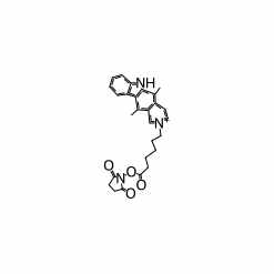 Cc1c2cc[n+](CCCCCC(=O)ON3C(=O)CCC3=O)cc2c(C)c2c1[nH]c1ccccc12